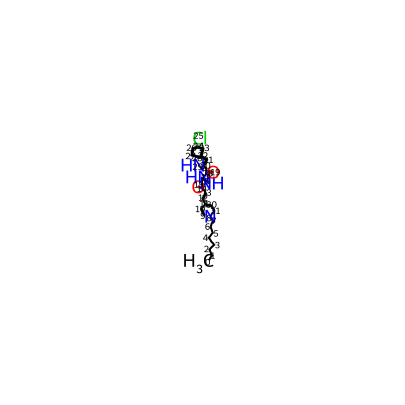 CCCCCCCCN1C=CC(/C=C/C(=O)NNC(=O)c2cc3cc(Cl)ccc3[nH]2)=CC1